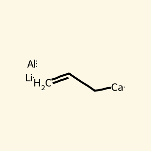 C=C[CH2][Ca].[Al].[Li]